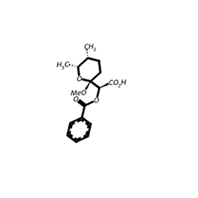 CO[C@]1([C@H](OC(=O)c2ccccc2)C(=O)O)CC[C@@H](C)[C@@H](C)O1